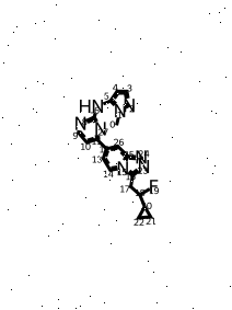 Cn1nccc1Nc1nccc(-c2ccn3c(CC(F)C4CC4)nnc3c2)n1